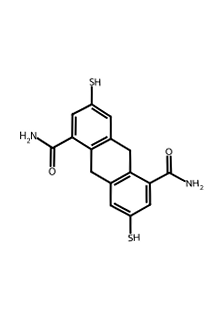 NC(=O)c1cc(S)cc2c1Cc1cc(S)cc(C(N)=O)c1C2